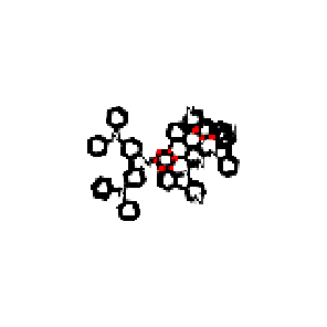 c1ccc(-c2cccc(-c3ccccc3)c2-c2c(-c3ccc(-n4c5ccc(N(c6ccccc6)c6ccccc6)cc5c5cc(N(c6ccccc6)c6ccccc6)ccc54)cc3)c(-n3c4ccccc4c4cnccc43)nc(-n3c4ccccc4c4cnccc43)c2-n2c3ccccc3c3cnccc32)cc1